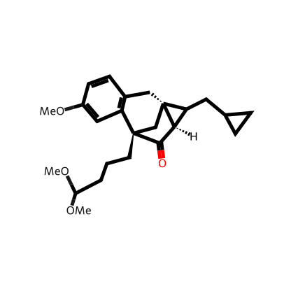 COc1ccc2c(c1)[C@]1(CCCC(OC)OC)C[C@@]3(C2)C(CC2CC2)[C@H]3C1=O